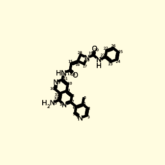 Cc1ccncc1-c1cc2cc(NC(=O)C=C3CN(C(=O)Nc4ccccc4)C3)ncc2c(N)n1